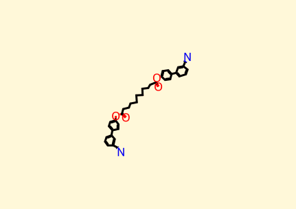 N#Cc1cccc(-c2ccc(OC(=O)CCCCCCCCCC(=O)Oc3ccc(-c4cccc(C#N)c4)cc3)cc2)c1